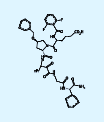 CCCC(NC(=O)[C@@H]1C[C@@H](OCc2ccccc2)CN1C(=O)[C@H](CCCC(=O)O)NC(=O)c1c(F)cccc1F)C(=O)C(=O)NCC(=O)N[C@H](C(N)=O)c1ccccc1